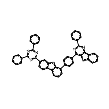 c1ccc(-c2nc(-c3ccccc3)nc(-c3ccc4c(c3)sc3c(-c5ccc(-c6nc(-c7ccccc7)nc7c6sc6ccccc67)cc5)cccc34)n2)cc1